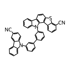 N#Cc1ccc2c(c1)c1ccccc1n2-c1cccc(-c2cccc(-n3c4ccccc4c4ccc5sc6c(C#N)cccc6c5c43)c2)c1